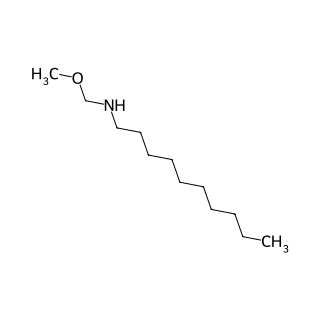 CCCCCCCCCCNCOC